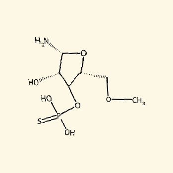 COC[C@H]1O[C@@H](N)[C@@H](O)C1OP(O)(O)=S